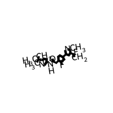 C=C(F)c1cc(-c2ccc(CC(=O)Nc3ccc(C(C)(C)C)nc3)c(F)c2)cnc1C